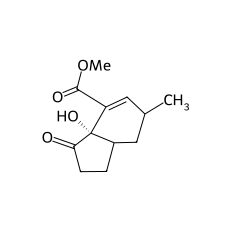 COC(=O)C1=CC(C)CC2CCC(=O)[C@@]12O